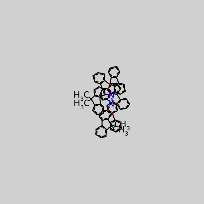 CC1(C)c2ccccc2-c2ccc(N(c3ccc4c(c3)C3(c5ccccc5-4)c4ccccc4-c4cccc(N(c5ccc(-c6ccccc6)cc5)c5cccc6c5-c5ccccc5C6(C)C)c43)c3ccccc3-c3ccccc3)cc21